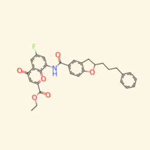 CCOC(=O)c1cc(=O)c2cc(F)cc(NC(=O)c3ccc4c(c3)CC(CCCc3ccccc3)O4)c2o1